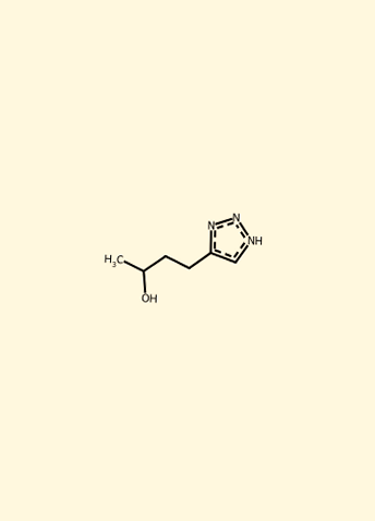 CC(O)CCc1c[nH]nn1